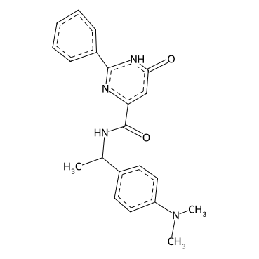 CC(NC(=O)c1cc(=O)[nH]c(-c2ccccc2)n1)c1ccc(N(C)C)cc1